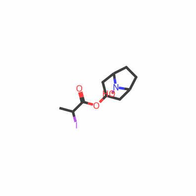 CC(I)C(=O)OC1CC2CCC(C1)N2O